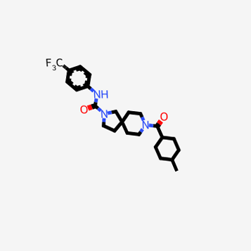 CC1CCC(C(=O)N2CCC3(CCN(C(=O)Nc4ccc(C(F)(F)F)cc4)C3)CC2)CC1